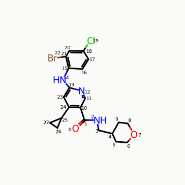 O=C(NCC1CCOCC1)c1cnc(Nc2ccc(Cl)cc2Br)cc1C1CC1